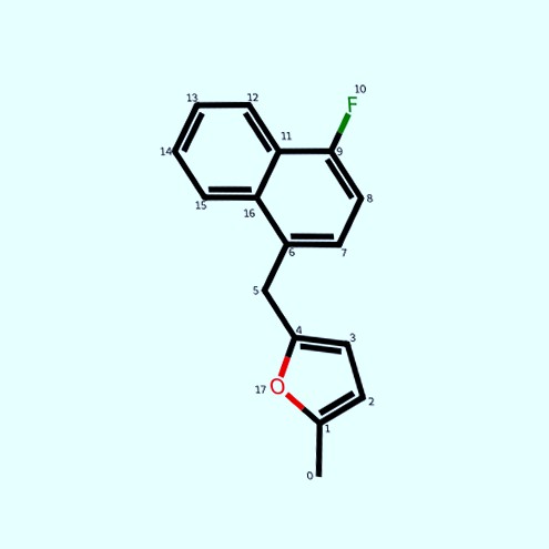 Cc1ccc(Cc2ccc(F)c3ccccc23)o1